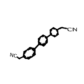 N#CCc1ccc(-c2ccc(-c3ccc(CC#N)cc3)cc2)cc1